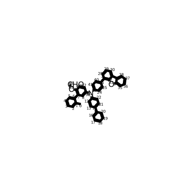 Cc1ccccc1-c1cc(N(c2ccc(-c3ccccc3)cc2)c2ccc(-c3cccc4c3oc3ccccc34)cc2)ccc1OC=O